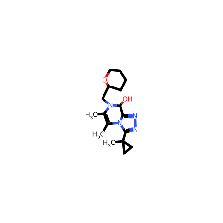 CC1=C(C)n2c(nnc2C2(C)CC2)C(O)N1CC1CCCCO1